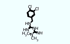 CN(C)C(=N)NC(=N)NCc1ccc(Cl)c(Cl)c1